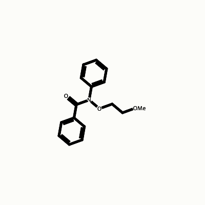 COCCON(C(=O)c1ccccc1)c1ccccc1